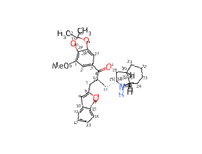 COc1cc(C(=O)C(Cc2cc3ccccc3o2)C[C@@H]2C[C@@H]3CCCC[C@@H]3N2)cc2c1OC(C)(C)O2